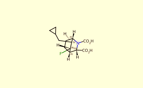 O=C(O)[C@@H]1[C@@H]2CC[C@@H]([C@H](CC3CC3)[C@H]2F)N1C(=O)O